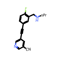 CCCNCc1cc(C#Cc2cncc(C#N)c2)ccc1F